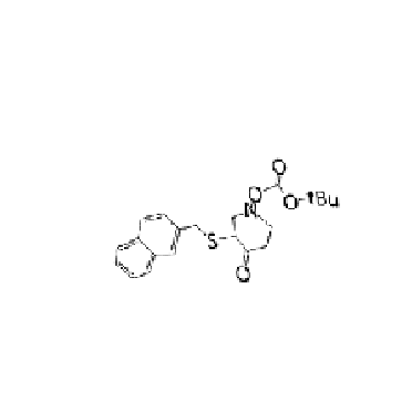 CC(C)(C)OC(=O)ON1CCC(=O)C(SCc2ccc3ccccc3c2)C1